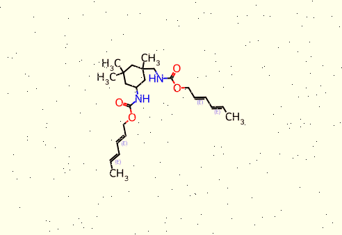 C/C=C/C=C/COC(=O)NCC1(C)CC(NC(=O)OC/C=C/C=C/C)CC(C)(C)C1